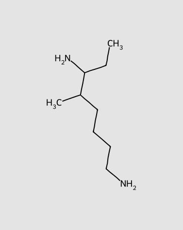 CCC(N)C(C)CCCCN